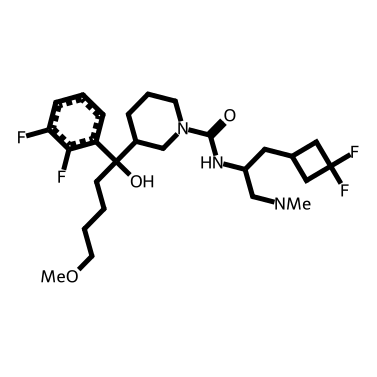 CNCC(CC1CC(F)(F)C1)NC(=O)N1CCCC(C(O)(CCCCOC)c2cccc(F)c2F)C1